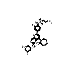 O=C1CCOCCN1c1cc(-c2ccc(NS(=O)(=O)CCC(F)(F)F)c(F)c2)nc2cnc(N[C@@H]3CNC[C@@H](F)C3)nc12